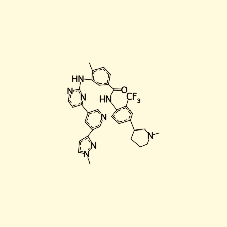 Cc1ccc(C(=O)Nc2ccc(C3CCCN(C)C3)cc2C(F)(F)F)cc1Nc1nccc(-c2cncc(-c3ccn(C)n3)c2)n1